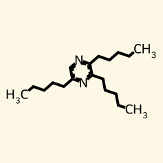 CCCCCc1cnc(CCCCC)c(CCCCC)n1